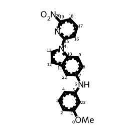 COc1cccc(Nc2ccc3c(ccn3-c3cccc([N+](=O)[O-])n3)c2)c1